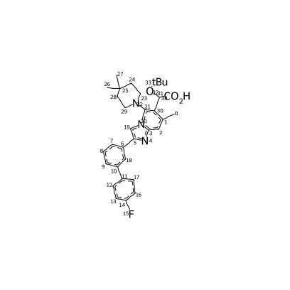 Cc1cc2nc(-c3cccc(-c4ccc(F)cc4)c3)cn2c(N2CCC(C)(C)CC2)c1C(OC(C)(C)C)C(=O)O